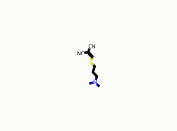 CN(C)CCCSC=C(C#N)C#N